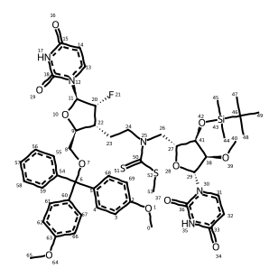 COc1ccc(C(OC[C@H]2O[C@@H](n3ccc(=O)[nH]c3=O)[C@H](F)[C@@H]2CCN(C[C@H]2O[C@@H](n3ccc(=O)[nH]c3=O)[C@H](OC)[C@@H]2O[Si](C)(C)C(C)(C)C)C(=S)SC)(c2ccccc2)c2ccc(OC)cc2)cc1